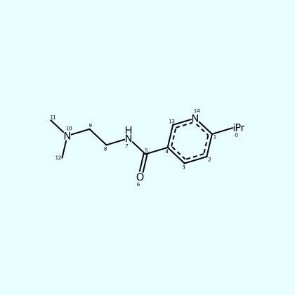 CC(C)c1ccc(C(=O)NCCN(C)C)cn1